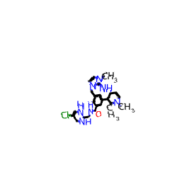 CC1C(c2cc(Cn3ccn(C)c3=N)cc(C(=O)NCC3NCC(Cl)CN3)c2)CCCN1C